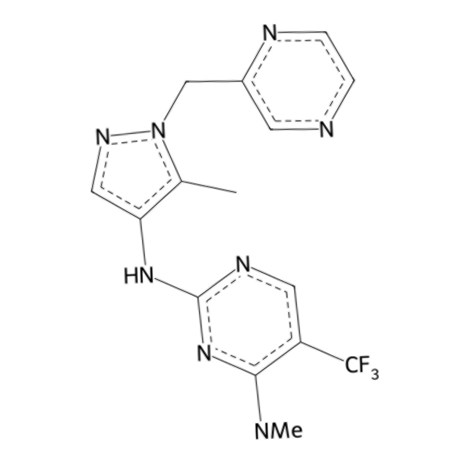 CNc1nc(Nc2cnn(Cc3cnccn3)c2C)ncc1C(F)(F)F